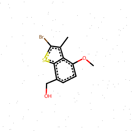 COc1ccc(CO)c2sc(Br)c(C)c12